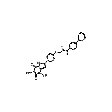 CCCn1c(=O)c2[nH]c(-c3ccc(OCC(=O)Nc4ccc(-c5ccccc5)cc4)cc3)cc2n(CCC)c1=O